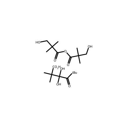 CC(C)(C)C(=O)C(O)(O)C(C)(C)C(=O)O.CC(C)(CO)C(=O)OC(=O)C(C)(C)CO